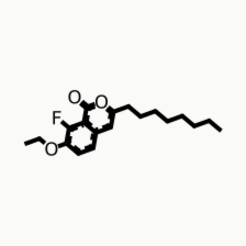 CCCCCCCCc1cc2ccc(OCC)c(F)c2c(=O)o1